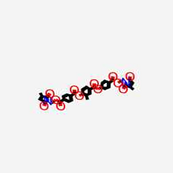 CC1=CC(=O)N(COC(=O)c2ccc(OC(=O)c3ccc(OC(=O)c4ccc(C(=O)OCN5C(=O)C=C(C)C5=O)cc4)c(C)c3)cc2)C1=O